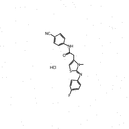 Cl.Cn1c(CC(=O)Nc2ccc(C#N)cc2)csc1=Nc1ccc(F)cc1